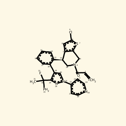 C=CC(=O)N1Cc2sc(Cl)cc2[C@H](c2ccccc2-c2cn(-c3ccncc3)nc2C(C)(F)P)C1